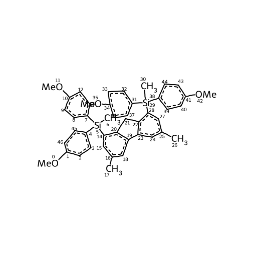 COc1ccc([Si](C)(c2ccc(OC)cc2)c2cc(C)cc3c2Cc2c-3cc(C)cc2[Si](C)(c2ccc(OC)cc2)c2ccc(OC)cc2)cc1